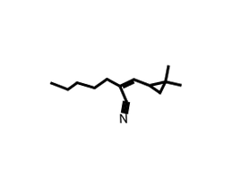 CCCCC/C(C#N)=C/C1CC1(C)C